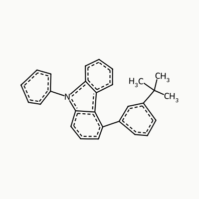 CC(C)(C)c1cccc(-c2cccc3c2c2ccccc2n3-c2ccccc2)c1